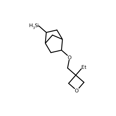 CCC1(COC2CC3CC2CC3[SiH3])COC1